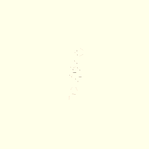 CN1c2nc(NCc3ccccn3)n(C)c2C(=O)N(Cc2ccc(Cl)c(Cl)c2)C1O